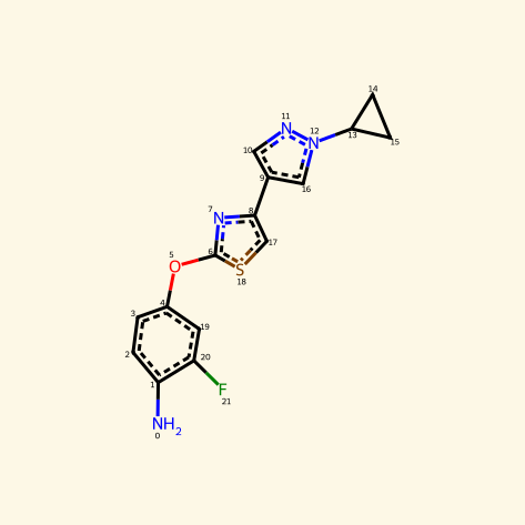 Nc1ccc(Oc2nc(-c3cnn(C4CC4)c3)cs2)cc1F